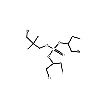 CC(C)(CBr)COP(=O)(OC(CCl)CCl)OC(CCl)CBr